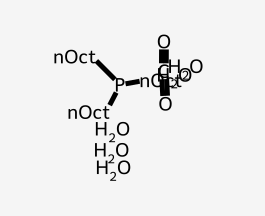 CCCCCCCCP(CCCCCCCC)CCCCCCCC.O.O.O.O.O.O=C=O